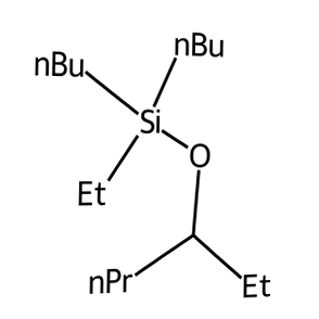 CCCC[Si](CC)(CCCC)OC(CC)CCC